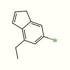 CCc1cc(Br)cc2c1C=CC2